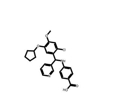 COc1cc(Cl)c(C(Nc2ccc(C(=O)O)cc2)c2cccnc2)cc1OC1CCCC1